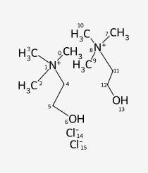 C[N+](C)(C)CCO.C[N+](C)(C)CCO.[Cl-].[Cl-]